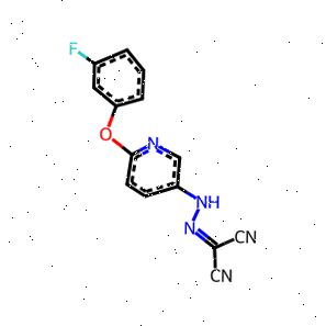 N#CC(C#N)=NNc1ccc(Oc2cccc(F)c2)nc1